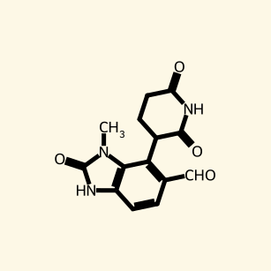 Cn1c(=O)[nH]c2ccc(C=O)c(C3CCC(=O)NC3=O)c21